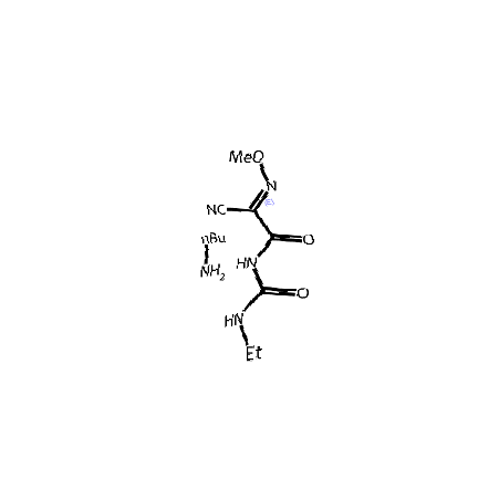 CCCCN.CCNC(=O)NC(=O)/C(C#N)=N/OC